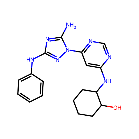 Nc1nc(Nc2ccccc2)nn1-c1cc(NC2CCCCC2O)ncn1